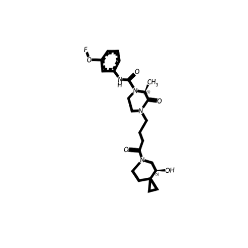 C[C@H]1C(=O)N(CCCC(=O)N2CCC3(CC3)[C@H](O)C2)CCN1C(=O)Nc1cccc(OF)c1